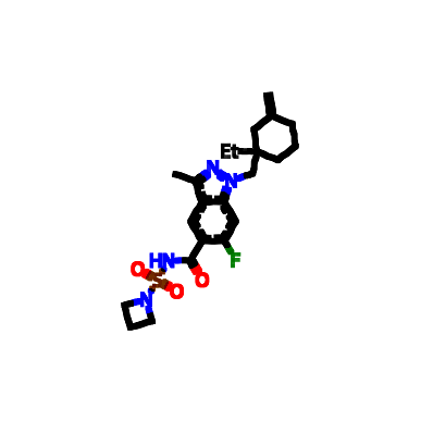 C=C1CCCC(CC)(Cn2nc(C)c3cc(C(=O)NS(=O)(=O)N4CCC4)c(F)cc32)C1